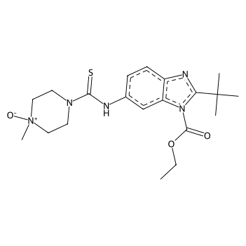 CCOC(=O)n1c(C(C)(C)C)nc2ccc(NC(=S)N3CC[N+](C)([O-])CC3)cc21